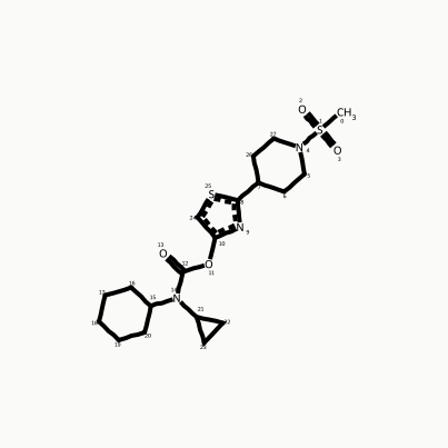 CS(=O)(=O)N1CCC(c2nc(OC(=O)N(C3CCCCC3)C3CC3)cs2)CC1